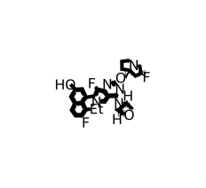 CCc1c(F)ccc2cc(O)cc(-c3ncc4c(N5C[C@@H]6C[C@H]5CO6)nc(OC[C@@]56CCCN5C[C@H](F)C6)nc4c3F)c12